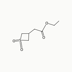 CCOC(=O)CC1CS(=O)(=O)C1